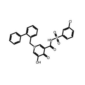 O=C(NS(=O)(=O)c1cccc(Cl)c1)c1cn(Cc2ccccc2-c2ccccc2)cc(O)c1=O